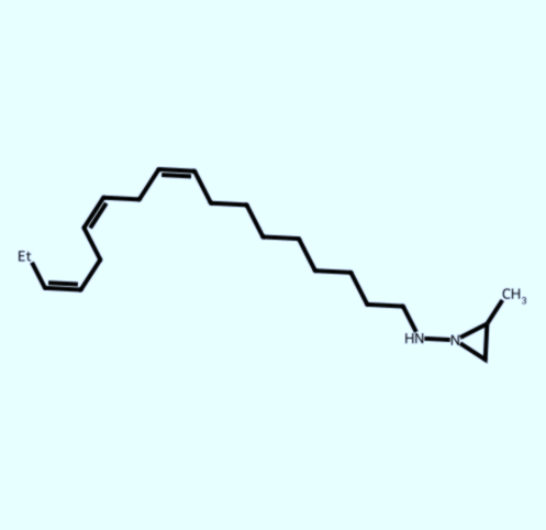 CC/C=C\C/C=C\C/C=C\CCCCCCCCNN1CC1C